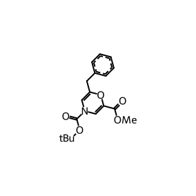 COC(=O)C1=CN(C(=O)OC(C)(C)C)C=C(Cc2ccccc2)O1